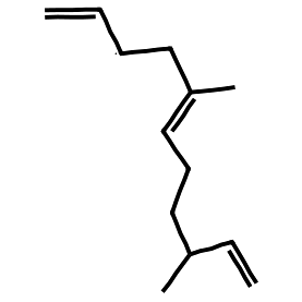 C=C[CH]CC(C)=CCCC(C)C=C